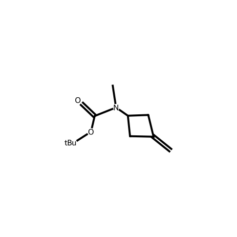 C=C1CC(N(C)C(=O)OC(C)(C)C)C1